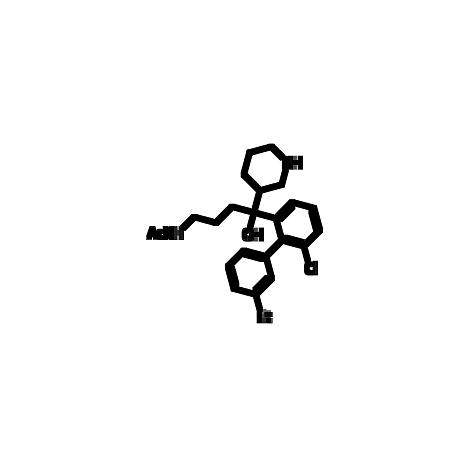 CCc1cccc(-c2c(Cl)cccc2C(O)(CCCNC(C)=O)C2CCCNC2)c1